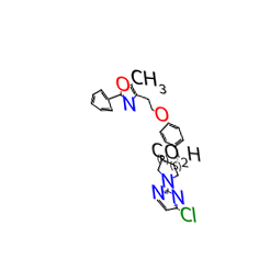 Cc1oc(-c2ccccc2)nc1CCOc1ccc(C[C@@H]2CN(c3nccc(Cl)n3)C[C@@H]2C(=O)O)cc1